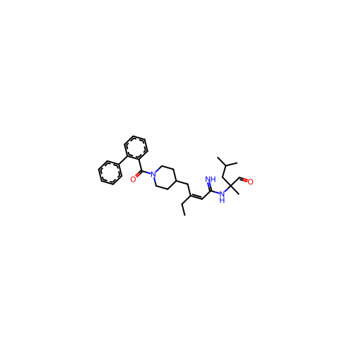 CC/C(=C/C(=N)NC(C)(C=O)CC(C)C)CC1CCN(C(=O)c2ccccc2-c2ccccc2)CC1